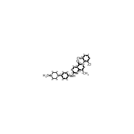 Cc1cn(-c2c(Cl)cccc2Cl)c(=O)c2cnc(Nc3ccc(N4CCN(C)CC4)cc3)nc12